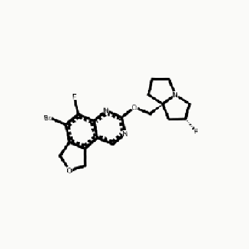 Fc1c(Br)c2c(c3cnc(OC[C@@]45CCCN4C[C@H](F)C5)nc13)COC2